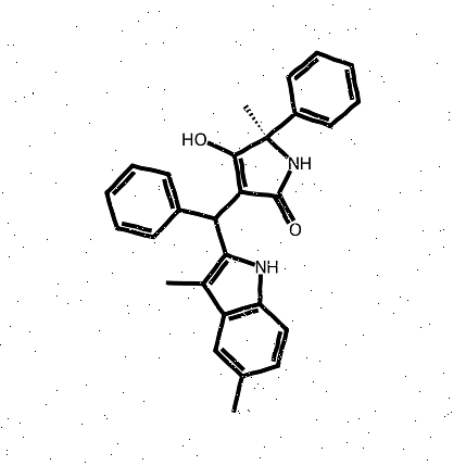 Cc1ccc2[nH]c(C(C3=C(O)[C@@](C)(c4ccccc4)NC3=O)c3ccccc3)c(C)c2c1